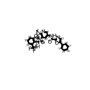 COc1ncc(NC(=O)c2ncc(-c3ccccc3)o2)cc1S(=O)(=O)Nc1c(Cl)cccc1C(F)(F)F